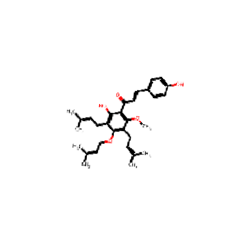 COc1c(CC=C(C)C)c(OCC=C(C)C)c(CC=C(C)C)c(O)c1C(=O)/C=C/c1ccc(O)cc1